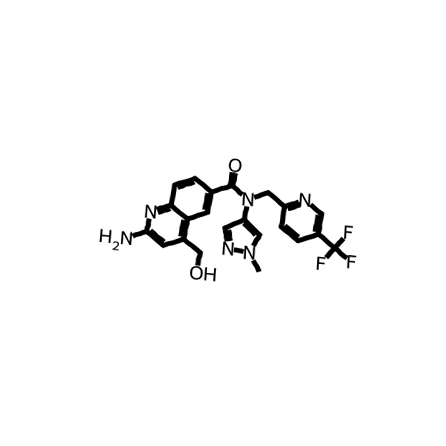 Cn1cc(N(Cc2ccc(C(F)(F)F)cn2)C(=O)c2ccc3nc(N)cc(CO)c3c2)cn1